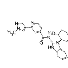 Cn1cc(-c2cc(C(=O)/N=c3\[nH]c4ccccc4n3[C@@H]3CCCC[C@H]3O)ccn2)cn1